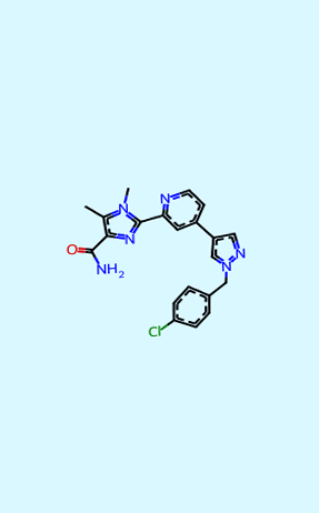 Cc1c(C(N)=O)nc(-c2cc(-c3cnn(Cc4ccc(Cl)cc4)c3)ccn2)n1C